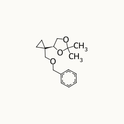 CC1(C)OC[C@H](C2(COCc3ccccc3)CC2)O1